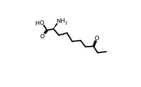 CCC(=O)CCCCC[C@H](N)C(=O)O